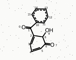 O=C(C1=CC=CC(=O)C1O)c1ccccc1